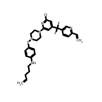 C=CCCCNc1ccc(SN2CCN(c3cc(C(F)(F)c4ccc(C=C)nc4)cc(Cl)n3)CC2)cc1